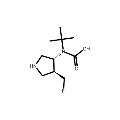 CC(C)(C)N(C(=O)O)[C@H]1CNC[C@@H]1CF